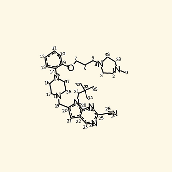 CN1CCN(CCCOc2ccccc2N2CCN(Cc3cc4cnc(C#N)nc4n3CC(C)(C)C)CC2)CC1